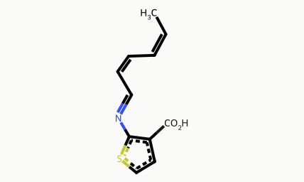 C\C=C/C=C\C=N\c1sccc1C(=O)O